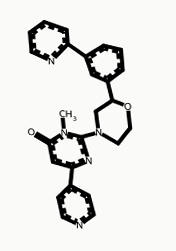 Cn1c(N2CCOC(c3cccc(-c4ccccn4)c3)C2)nc(-c2ccncc2)cc1=O